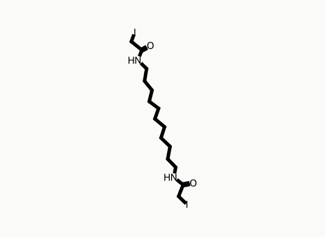 O=C(CI)NCCCCCCCCCCCNC(=O)CI